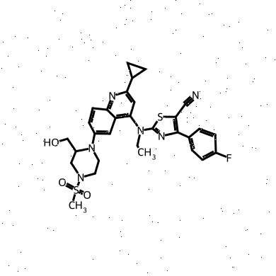 CCN(c1nc(-c2ccc(F)cc2)c(C#N)s1)c1cc(C2CC2)nc2ccc(N3CCN(S(C)(=O)=O)CC3CO)cc12